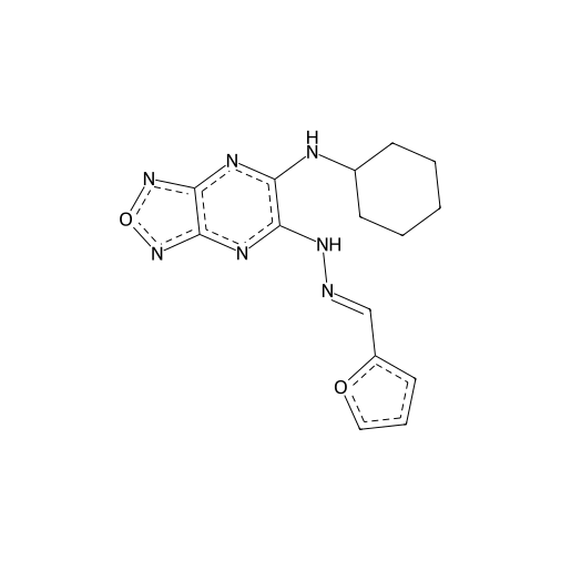 C(=NNc1nc2nonc2nc1NC1CCCCC1)c1ccco1